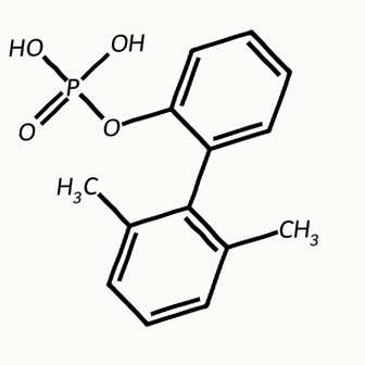 Cc1cccc(C)c1-c1ccccc1OP(=O)(O)O